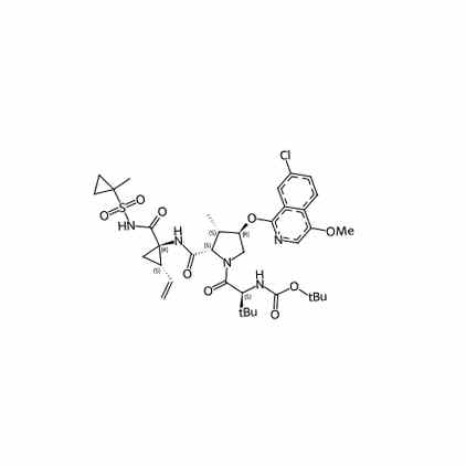 C=C[C@@H]1C[C@]1(NC(=O)[C@@H]1[C@H](C)[C@@H](Oc2ncc(OC)c3ccc(Cl)cc23)CN1C(=O)[C@@H](NC(=O)OC(C)(C)C)C(C)(C)C)C(=O)NS(=O)(=O)C1(C)CC1